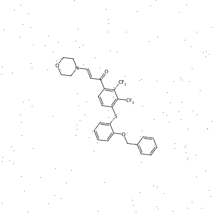 O=C(C=CN1CCOCC1)c1ccc(Sc2ccccc2OCc2ccccc2)c(C(F)(F)F)c1C(F)(F)F